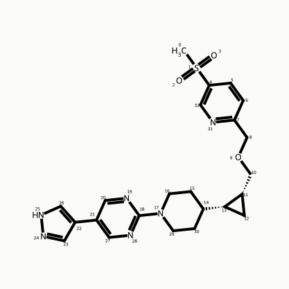 CS(=O)(=O)c1ccc(COC[C@@H]2C[C@@H]2C2CCN(c3ncc(-c4cn[nH]c4)cn3)CC2)nc1